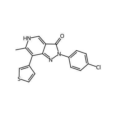 Cc1[nH]cc2c(=O)n(-c3ccc(Cl)cc3)nc-2c1-c1ccsc1